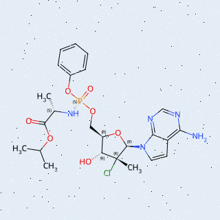 CC(C)OC(=O)[C@H](C)N[P@](=O)(OC[C@H]1O[C@@H](n2ccc3c(N)ncnc32)[C@](C)(Cl)[C@@H]1O)Oc1ccccc1